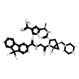 C[C@@H](NC(=O)[C@@H]1C[C@]2(CN3CCOCC3)C[C@@H]2N1C(=O)CNC(=O)c1ccc2c(c1)-c1ccccc1C2(F)F)c1cc(C(=N)N)cs1